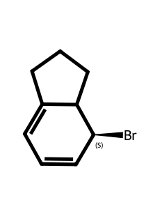 Br[C@H]1C=CC=C2CCCC21